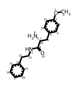 COc1ccc(C[C@@H](N)C(=O)NCCc2ccccc2)cc1